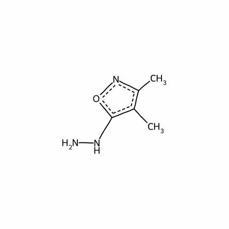 Cc1noc(NN)c1C